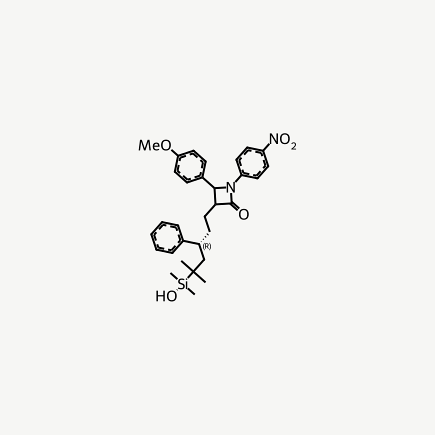 COc1ccc(C2C(CC[C@H](CC(C)(C)[Si](C)(C)O)c3ccccc3)C(=O)N2c2ccc([N+](=O)[O-])cc2)cc1